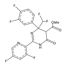 COC(=O)C1C(=O)NC(c2ncc(F)cc2F)=NC1(c1ccc(F)c(F)c1)C(F)F